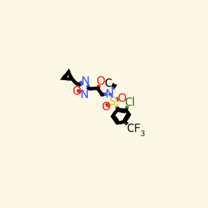 O=S(=O)(c1ccc(C(F)(F)F)cc1Cl)N1CCOC(c2noc(C3CC3)n2)C1